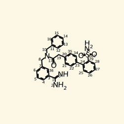 N=C(N)c1cccc(CN(Cc2ccccc2)C(=O)Cc2ccc(-c3ccccc3S(N)(=O)=O)cc2)c1